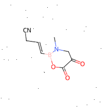 CN1CC(=O)C(=O)OB1/C=C/CC#N